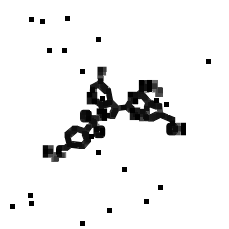 Cc1ccc(S(=O)(=O)n2cc(-c3nc(N)c4cc(CO)cn4n3)c3cc(F)cnc32)cc1